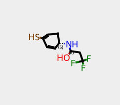 O[C@H](CC(F)(F)F)N[C@@H]1C=CC(S)=CC1